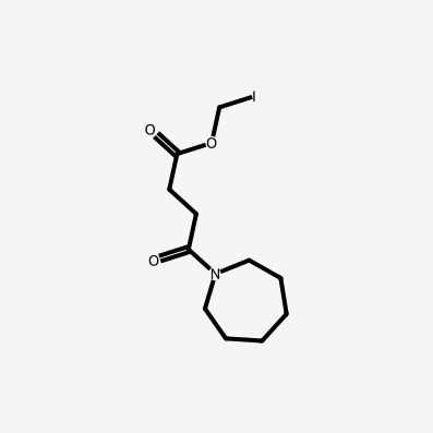 O=C(CCC(=O)N1CCCCCC1)OCI